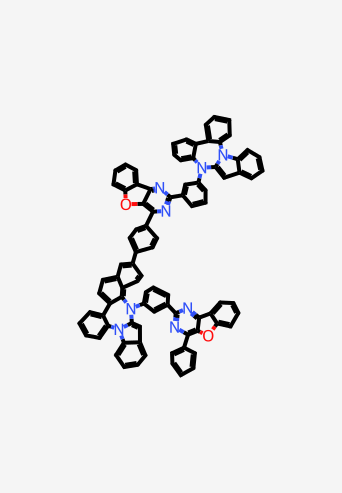 c1ccc(-c2nc(-c3cccc(N4c5c(ccc6cc(-c7ccc(-c8nc(-c9cccc(N%10c%11ccccc%11-c%11ccccc%11-n%11c%10cc%10ccccc%10%11)c9)nc9c8oc8ccccc89)cc7)ccc56)-c5ccccc5-n5c4cc4ccccc45)c3)nc3c2oc2ccccc23)cc1